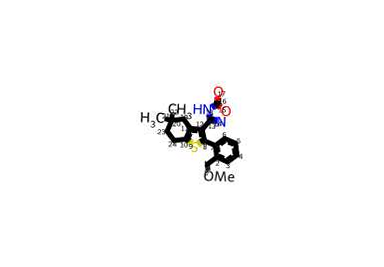 COCc1ccccc1-c1sc2c(c1-c1noc(=O)[nH]1)CC(C)(C)CC2